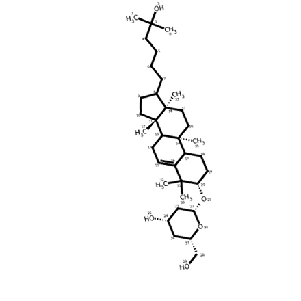 CC(C)(O)CCCCC1CC[C@@]2(C)C3CC=C4C(CC[C@H](O[C@H]5C[C@@H](O)C[C@@H](CO)O5)C4(C)C)[C@]3(C)CC[C@]12C